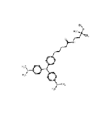 CCOC(C)(C)CCNC(=O)CCCOc1ccc(C(c2ccc(N(C)C)cc2)c2ccc(N(C)C)cc2)cc1